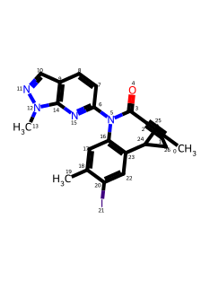 CC#CC(=O)N(c1ccc2cnn(C)c2n1)c1cc(C)c(I)cc1C1CC1